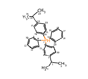 CC(C)c1ccc([PH](c2ccccc2)(c2ccccc2)c2ccc(C(C)C)cc2)cc1